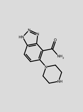 NC(=O)c1c(N2CCNCC2)ccc2[nH]nnc12